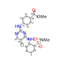 CNS(=O)(=O)c1ccccc1Nc1nc(Nc2ccc(C(=O)OC)cc2)ncc1Cl